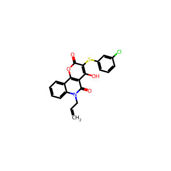 C=CCn1c(=O)c2c(O)c(Sc3cccc(Cl)c3)c(=O)oc2c2ccccc21